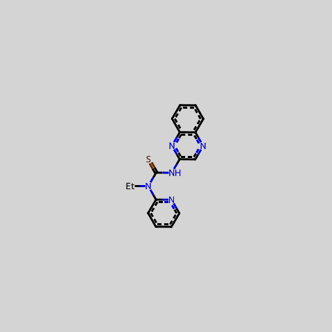 CCN(C(=S)Nc1cnc2ccccc2n1)c1ccccn1